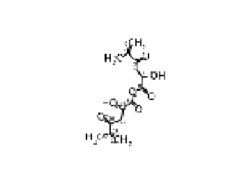 C=C(C)C(=O)CC(O)C(=O)OC(=O)C(O)CC(=O)C(=C)C